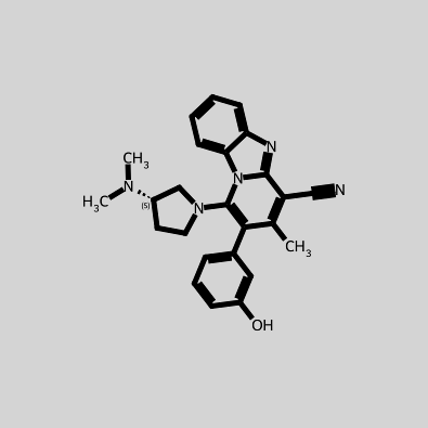 Cc1c(-c2cccc(O)c2)c(N2CC[C@H](N(C)C)C2)n2c(nc3ccccc32)c1C#N